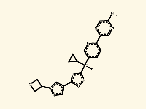 C[C@@](c1ccc(-c2cnc(N)cn2)nc1)(c1noc(-c2cnn(C3COC3)c2)n1)C1CC1